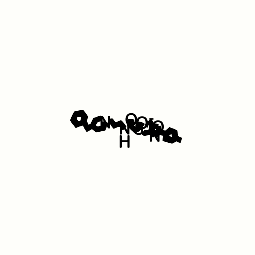 Cc1ccc(-c2nc(C[S+]([O-])CC(=O)NCCCN3CCC(Cc4ccccc4)CC3)c(C)o2)cc1